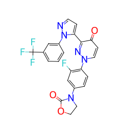 O=C1OCCN1c1ccc(-n2ccc(=O)c(-c3ccnn3-c3cccc(C(F)(F)F)c3)n2)c(F)c1